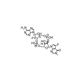 Cn1cnc2c(c(F)cn2[C@@H]2OC3COP(=O)(S)OC4[C@@H](F)[C@H](n5cnc6c(N)ncnc65)O[C@@H]4COP(=O)(O)O[C@@H]2[C@@H]3O)c1=O